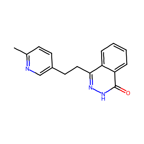 Cc1ccc(CCc2n[nH]c(=O)c3ccccc23)cn1